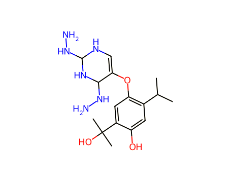 CC(C)c1cc(O)c(C(C)(C)O)cc1OC1=CNC(NN)NC1NN